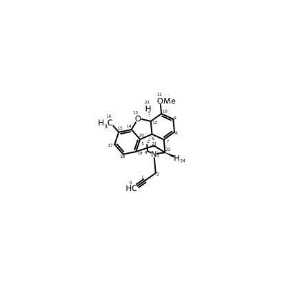 C#CCN1CC[C@@]23C4=CC=C(OC)[C@@H]2Oc2c(C)ccc(c23)C[C@H]41